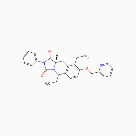 CCc1c(OCc2ccccn2)ccc2c1C[C@H]1C(=O)N(c3ccccc3)C(=O)N1C2CC